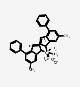 CC1=Cc2c(-c3ccccc3)cc(C)cc2[CH]1[Zr+2]([CH3])([CH3])(=[SiH2])[CH]1C(C)=Cc2c(-c3ccccc3)cc(C)cc21.[Cl-].[Cl-]